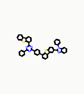 c1ccc(-c2nc(-c3ccc(-c4cccc5c4sc4ccc(-c6nc7ccccc7n6-c6ccccc6)cc45)cc3)nc(-c3cccc4c3sc3ccccc34)n2)cc1